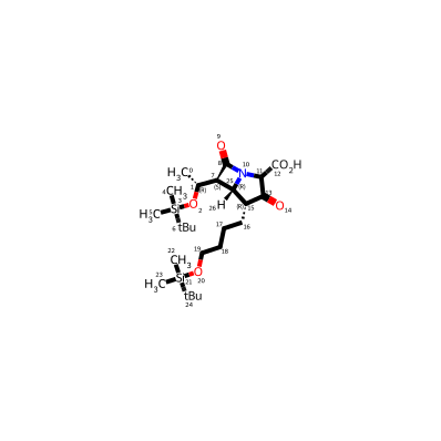 C[C@@H](O[Si](C)(C)C(C)(C)C)[C@H]1C(=O)N2C(C(=O)O)C(=O)[C@H](CCCCO[Si](C)(C)C(C)(C)C)[C@H]12